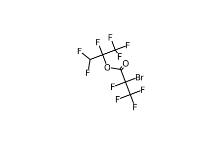 O=C(OC(F)(C(F)F)C(F)(F)F)C(F)(Br)C(F)(F)F